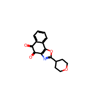 O=C1C(=O)c2nc(C3CCOCC3)oc2-c2ccccc21